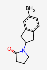 Bc1ccc2c(c1)CC(N1CCCC1=O)C2